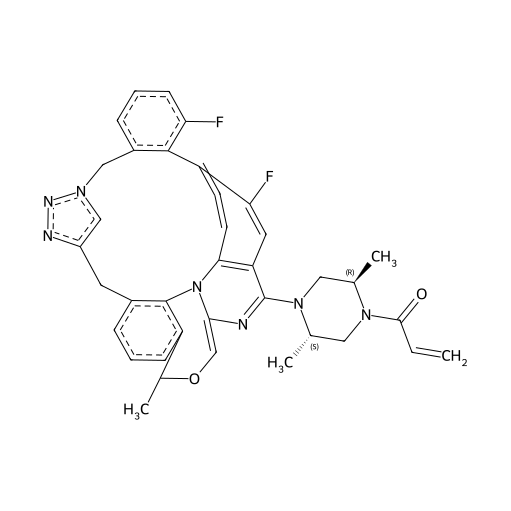 C=CC(=O)N1C[C@H](C)N(C2=NC3=COC(C)c4cccc5c4N3C3=C2C=C(F)C(=C=C3)c2c(F)cccc2Cn2cc(nn2)C5)C[C@H]1C